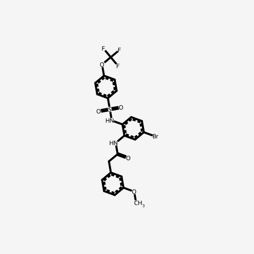 COc1cccc(CC(=O)Nc2cc(Br)ccc2NS(=O)(=O)c2ccc(OC(F)(F)F)cc2)c1